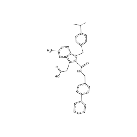 Bc1ccc2c(c1)c(CC(=O)O)c(C(=O)NCc1ccc(-c3ccccc3)cc1)n2Cc1ccc(C(C)C)cc1